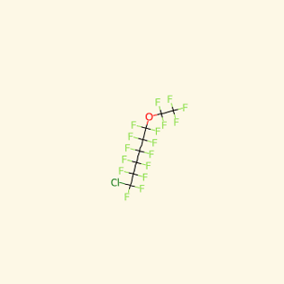 FC(F)(F)C(F)(F)OC(F)(F)C(F)(F)C(F)(F)C(F)(F)C(F)(F)C(F)(F)Cl